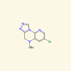 CCCCN1Cc2nncn2-c2ncc(Br)cc21